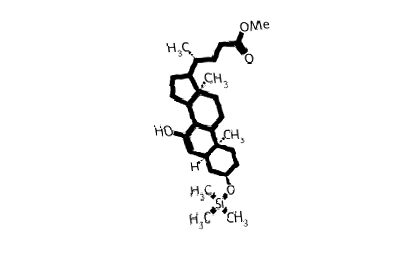 COC(=O)CC[C@@H](C)C1CCC2C3C(O)=C[C@@H]4C[C@H](O[Si](C)(C)C)CC[C@]4(C)C3CC[C@@]21C